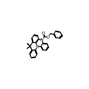 CC1(C)c2ccccc2B2c3ccccc3N(C(=O)OCc3ccccc3)c3cccc1c32